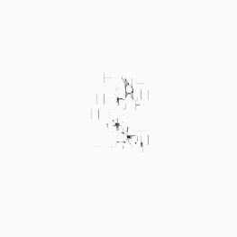 CC[C@@H](O)[C@](C)(O)[C@@H](I)OC(=O)[C@H](C)C[C@H](C)C[C@](C)(O)C[C@@H](C)CNC